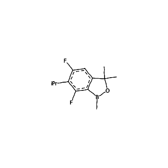 CB1OC(C)(C)c2cc(F)c(C(C)C)c(F)c21